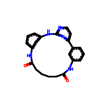 O=C1CCCCC(=O)Nc2cccc(c2)-c2ccnc(n2)Nc2cccc(c2)N1